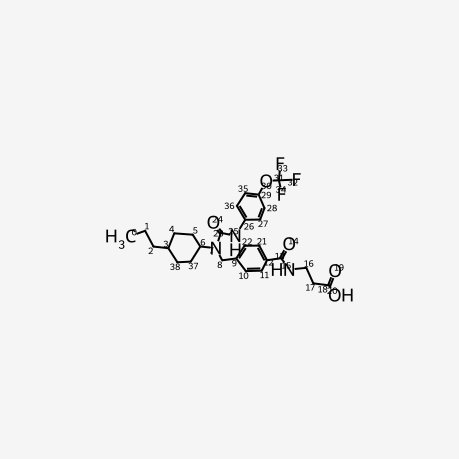 CCCC1CCC(N(Cc2ccc(C(=O)NCCC(=O)O)cc2)C(=O)Nc2ccc(OC(F)(F)F)cc2)CC1